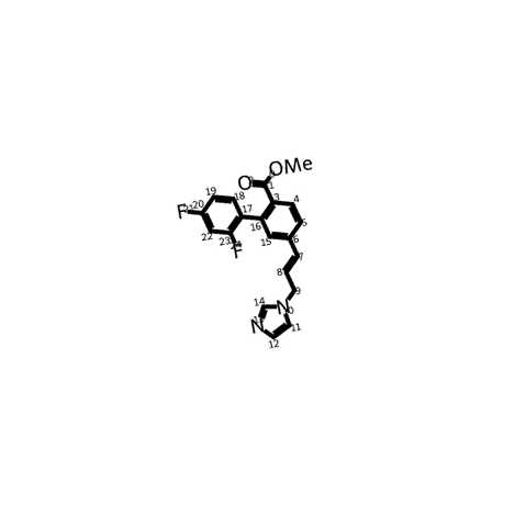 COC(=O)c1ccc(C=CCn2ccnc2)cc1-c1ccc(F)cc1F